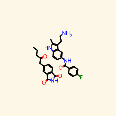 CCCC(=O)Cc1ccc2c(c1)C(=O)NC2=O.Cc1[nH]c2ccc(NC(=O)c3ccc(F)cc3)cc2c1CCN